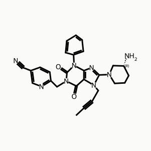 CC#CCn1c(N2CCC[C@@H](N)C2)nc2c1c(=O)n(Cc1ccc(C#N)cn1)c(=O)n2-c1ccccc1